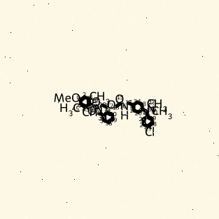 COc1cc(C)c(S(=O)(=O)N(CCOCC(=O)NCC2CCC(C(c3ccc(Cl)cc3)N(C)C)CC2)Cc2ccccc2)c(C)c1C